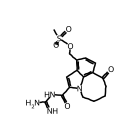 CS(=O)(=O)OCc1ccc2c3c1cc(C(=O)NC(=N)N)n3CCCCC2=O